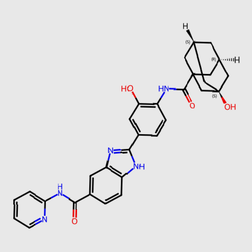 O=C(Nc1ccccn1)c1ccc2[nH]c(-c3ccc(NC(=O)C45C[C@H]6C[C@@H](C4)C[C@](O)(C6)C5)c(O)c3)nc2c1